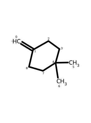 [CH]=C1CCC(C)(C)CC1